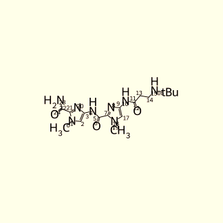 Cn1cc(NC(=O)c2nc(NC(=O)CCNC(C)(C)C)cn2C)nc1C(N)=O